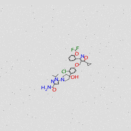 CC(C)n1nc(C(N)=O)cc1N1CCC(O)(c2ccc(OCc3c(-c4ccccc4OC(F)F)noc3C3CC3)cc2Cl)CC1